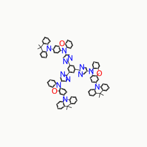 CC1(C)c2ccccc2N(c2ccc3c(c2)Oc2ccccc2N3c2cnc(-c3cc(-c4ncc(N5c6ccccc6Oc6cc(N7c8ccccc8C(C)(C)c8ccccc87)ccc65)cn4)cc(-c4ncc(N5c6ccccc6Oc6cc(N7c8ccccc8C(C)(C)c8ccccc87)ccc65)cn4)c3)nc2)c2ccccc21